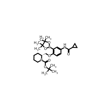 CC(C)(C)OC(=O)N1CCCC[C@@H]1COc1ccc(NC(=O)C2CC2)cc1B1OC(C)(C)C(C)(C)O1